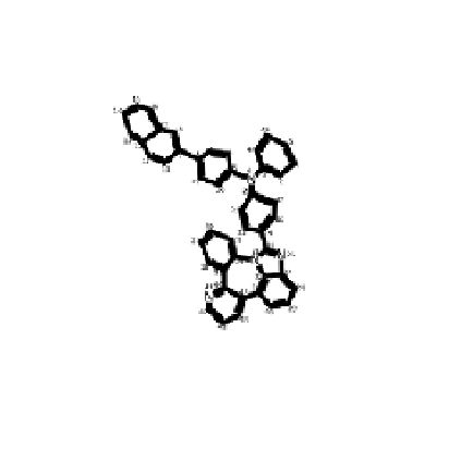 c1ccc(N(c2ccc(-c3ccc4ccccc4c3)cc2)c2ccc(-c3nc4cccc5c4n3-c3ccccc3-c3ncccc3-5)cc2)cc1